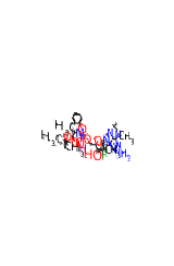 CC(C)OC(=O)[C@H](C)N(Oc1ccccc1)[PH](=O)OCC1O[C@@H](n2cnc3c(N(C)C4CC4)nc(N)nc32)[C@](C)(F)[C@@H]1O